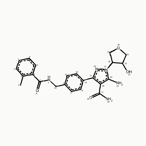 Cc1ccccc1C(=O)NCc1ccc(-c2nn(C3COCC3O)c(N)c2C(N)=O)cc1